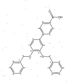 O=C(O)c1ccc(-c2ccc(OCc3ccccc3)c(OCc3ccccc3)c2)cc1